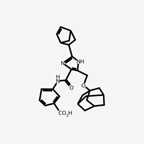 O=C(O)c1cccc(NC(=O)c2nc(C3CC4C=CC3C4)[nH]c2COC23CC4CC(CC(C4)C2)C3)c1